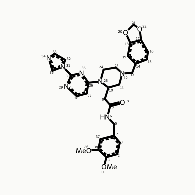 COc1ccc(CNC(=O)CC2CN(Cc3ccc4c(c3)OCO4)CCN2c2ccnc(-n3ccnc3)n2)cc1OC